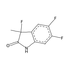 CC1(F)C(=O)Nc2cc(F)c(F)cc21